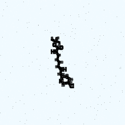 CC(C)(C)OC(=O)NCCCCNCc1ccc(Cl)cn1